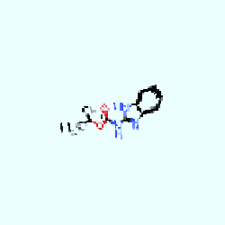 CC(C)OC(=O)Nc1nc2ccccc2[nH]1